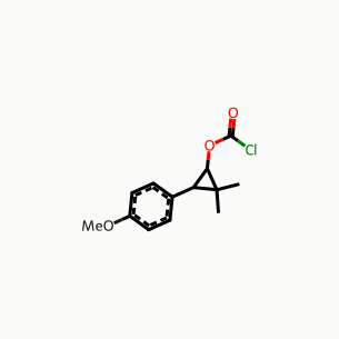 COc1ccc(C2C(OC(=O)Cl)C2(C)C)cc1